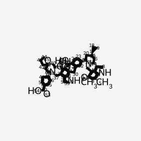 COc1cc(C)c2[nH]ccc2c1CN1CC[C@H](C2CC2)C[C@H]1c1ccc(C(=O)O)c(Cc2cc(OC)c(CN3CC[C@@]4(CCCO4)C[C@H]3c3ccc(C(=O)O)cc3)c3cc[nH]c23)c1